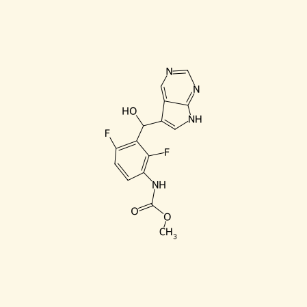 COC(=O)Nc1ccc(F)c(C(O)c2c[nH]c3ncncc23)c1F